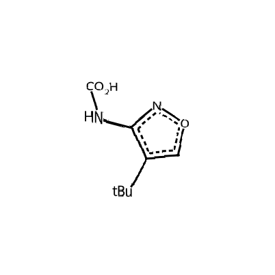 CC(C)(C)c1conc1NC(=O)O